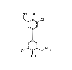 CC(C)(c1cc(Cl)c(O)c(CN)c1)c1cc(Cl)c(O)c(CN)c1